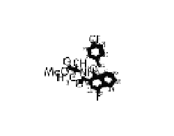 COC(=O)C(C)(C)NC(=O)c1cc(F)c2ccccc2c1OCc1ccc(C(F)(F)F)cc1